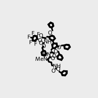 CN[C@@H](CCCNC(=O)OCc1ccccc1)C(=O)N[C@@H](Cc1cc(OCc2ccccc2)cc(-c2ccc(OCc3ccccc3)c(C[C@H](NC(=O)OCc3ccccc3)C(=O)Oc3c(F)c(F)c(F)c(F)c3F)c2)c1)C(=O)OCc1ccccc1